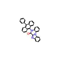 O=c1c2nc3ccccc3n2c2ccccc2n1-c1c2ccccc2c(-c2ccccc2)c2ccccc12